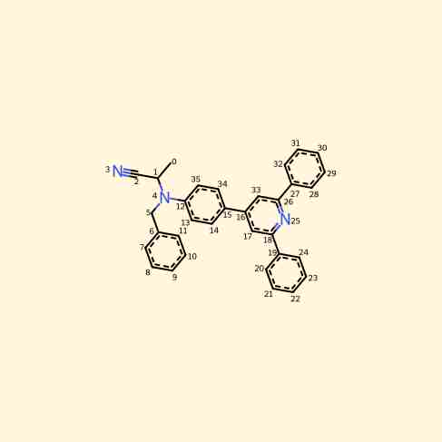 CC(C#N)N(Cc1ccccc1)c1ccc(-c2cc(-c3ccccc3)nc(-c3ccccc3)c2)cc1